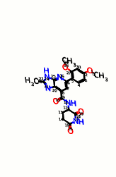 COc1ccc(-c2cc(C(=O)NC3CCC(=O)NC3=O)c3nc(C)[nH]c3n2)c(OC)c1